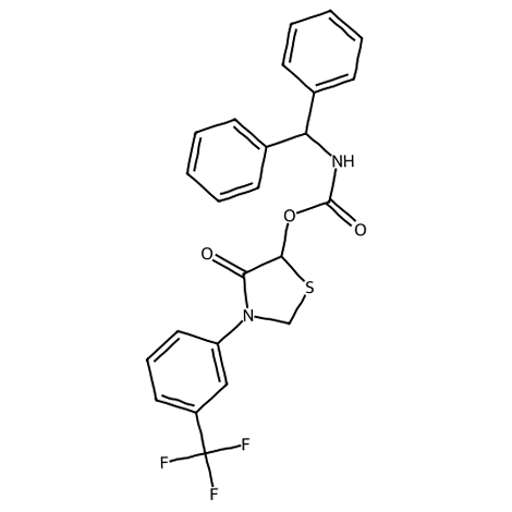 O=C(NC(c1ccccc1)c1ccccc1)OC1SCN(c2cccc(C(F)(F)F)c2)C1=O